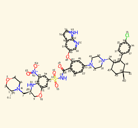 C[C@@H]1COCCN1C[C@@H]1COc2cc(S(=O)(=O)NC(=O)c3ccc(N4CCN(CC5=C(c6ccc(Cl)cc6)CC(C)(C)CC5)CC4)cc3Oc3cnc4[nH]ccc4c3)cc([N+](=O)[O-])c2N1